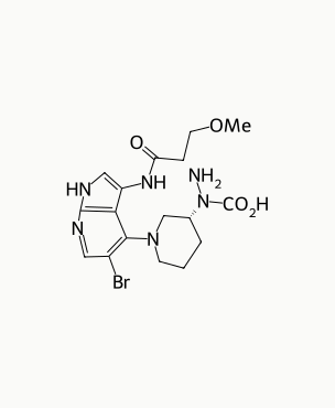 COCCC(=O)Nc1c[nH]c2ncc(Br)c(N3CCC[C@@H](N(N)C(=O)O)C3)c12